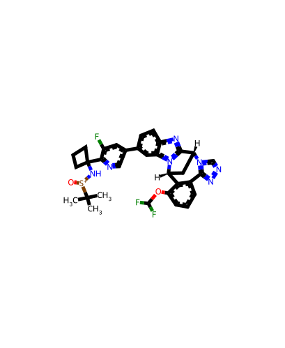 CC(C)(C)[S+]([O-])NC1(c2ncc(-c3ccc4nc5n(c4c3)[C@@H]3C[C@H]5n4cnnc4-c4cccc(OC(F)F)c43)cc2F)CCC1